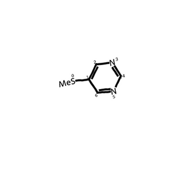 CSc1cn[c]nc1